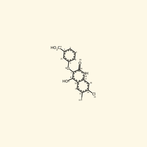 O=C(O)c1cccc(Oc2c(O)c3cc(I)c(Cl)cc3[nH]c2=O)c1